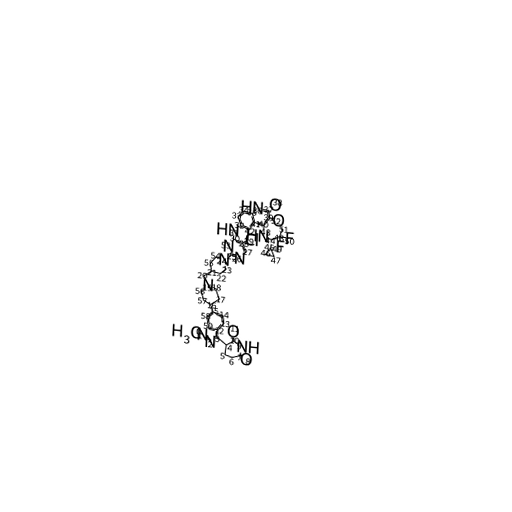 Cn1nc(C2CCC(=O)NC2=O)c2ccc(C3CCN(CC4CCN(c5ncc(Cl)c(Nc6ccc7[nH]c(=O)c8c(c7c6)N[C@@H](C6CC6)C(F)(F)CO8)n5)CC4)CC3)cc21